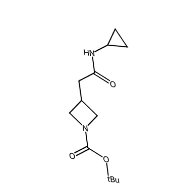 CC(C)(C)OC(=O)N1CC(CC(=O)NC2CC2)C1